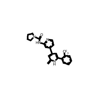 C=C1C=C(c2ccnc(NC(=O)N3CCCC3)c2)C=C(c2ccccc2C(F)(F)F)N1